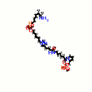 CO[PH](=O)OC[C@@H]1CCCN1C(=O)CCCCCNC(=O)CCCc1cn(CCCCCCO[PH](=O)OCCCCC[C@@H](C)[C@@H](C)N)nn1